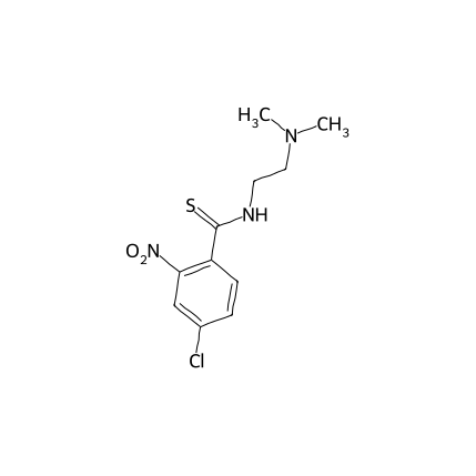 CN(C)CCNC(=S)c1ccc(Cl)cc1[N+](=O)[O-]